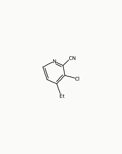 CCc1ccnc(C#N)c1Cl